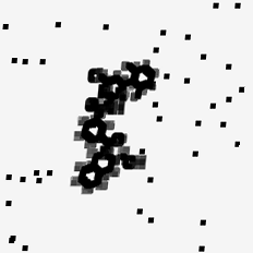 Cc1cccc(C)c1-c1cc(Cl)nc(N[S+]([O-])c2cccc(C(=O)N3Cc4ccccc4C[C@H]3CO)c2)n1